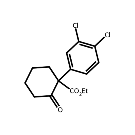 CCOC(=O)C1(c2ccc(Cl)c(Cl)c2)CCCCC1=O